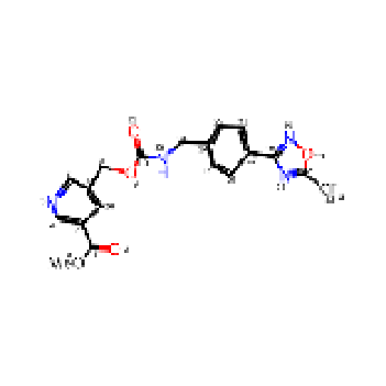 COC(=O)c1cncc(COC(=O)NCc2ccc(-c3noc(C(F)(F)F)n3)cc2)c1